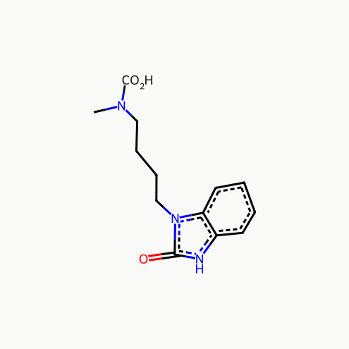 CN(CCCCn1c(=O)[nH]c2ccccc21)C(=O)O